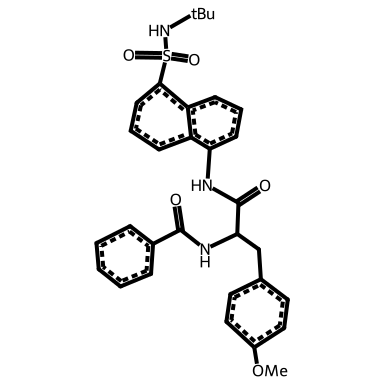 COc1ccc(CC(NC(=O)c2ccccc2)C(=O)Nc2cccc3c(S(=O)(=O)NC(C)(C)C)cccc23)cc1